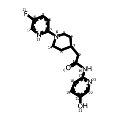 O=C(CC1CCN(c2ccc(F)cn2)CC1)Nc1ccc(O)cn1